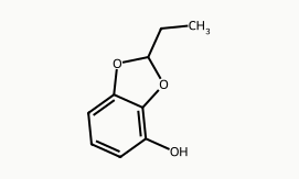 CCC1Oc2cccc(O)c2O1